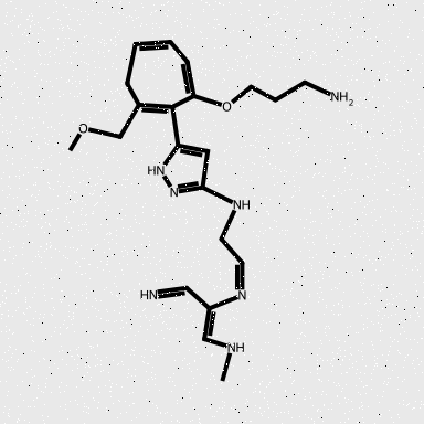 CN/C=C(C=N)\N=C/CNc1cc(C2=C(COC)CC=CC=C2OCCCN)[nH]n1